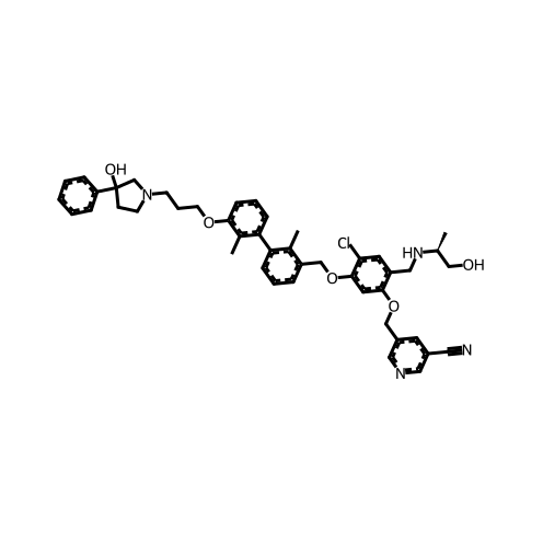 Cc1c(COc2cc(OCc3cncc(C#N)c3)c(CN[C@@H](C)CO)cc2Cl)cccc1-c1cccc(OCCCN2CCC(O)(c3ccccc3)C2)c1C